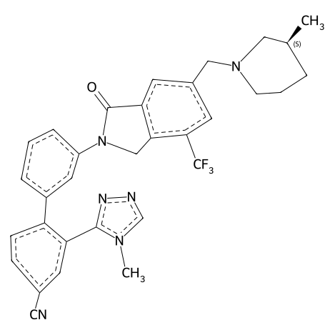 C[C@H]1CCCN(Cc2cc3c(c(C(F)(F)F)c2)CN(c2cccc(-c4ccc(C#N)cc4-c4nncn4C)c2)C3=O)C1